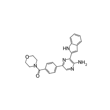 Nc1ncc(-c2ccc(C(=O)N3CCOCC3)cc2)nc1-c1cc2ccccc2[nH]1